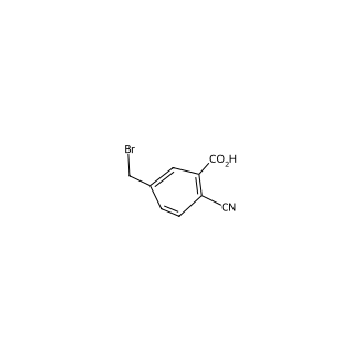 N#Cc1ccc(CBr)cc1C(=O)O